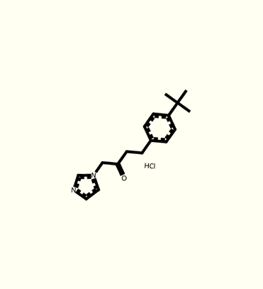 CC(C)(C)c1ccc(CCC(=O)Cn2ccnc2)cc1.Cl